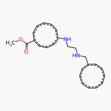 COC(=O)c1cccccc(NCCNCc2ccccccccc2)ccc1